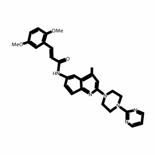 COc1ccc(OC)c(C=CC(=O)Nc2ccc3nc(N4CCN(c5ncccn5)CC4)cc(C)c3c2)c1